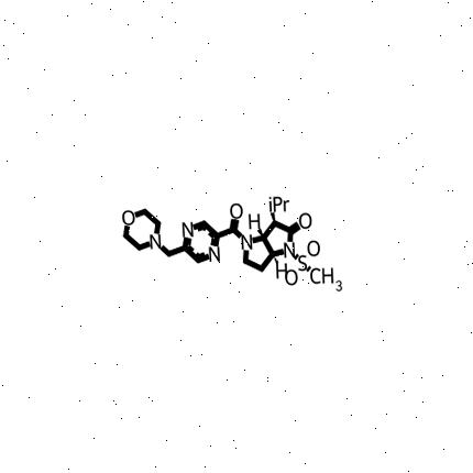 CC(C)[C@H]1C(=O)N(S(C)(=O)=O)[C@H]2CCN(C(=O)c3cnc(CN4CCOCC4)cn3)[C@H]12